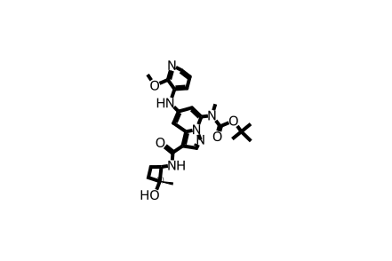 COc1ncccc1Nc1cc(N(C)C(=O)OC(C)(C)C)n2ncc(C(=O)NC3CC[C@@]3(C)O)c2c1